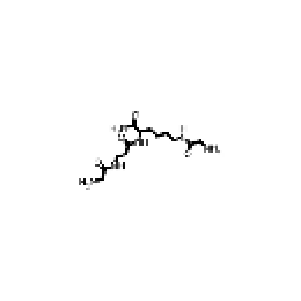 NCC(=O)NCCCCC(NC(=O)CCNC(=O)CN)C(N)=O